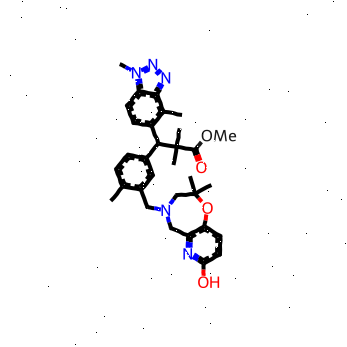 COC(=O)C(C)(C)C(c1ccc(C)c(CN2Cc3nc(O)ccc3OC(C)(C)C2)c1)c1ccc2c(nnn2C)c1C